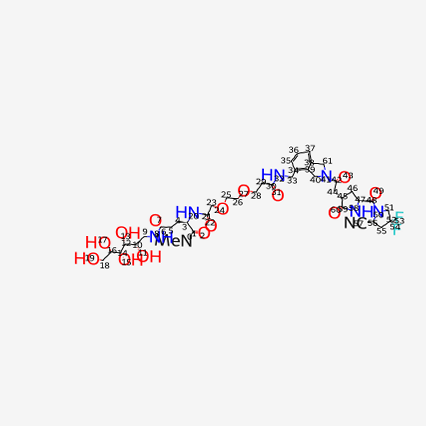 CNC(=O)[C@@H](CCC(=O)NC[C@H](O)[C@@H](O)[C@H](O)[C@H](O)CO)NC(=O)COCCOCCC(=O)NCc1cccc2c1CN(C(=O)C[C@@H]1C[C@@H](C(=O)N3CC(F)(F)C[C@H]3C#N)NC1=O)C2